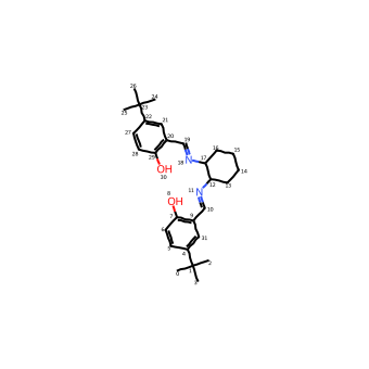 CC(C)(C)c1ccc(O)c(/C=N/C2CCCCC2/N=C/c2cc(C(C)(C)C)ccc2O)c1